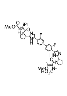 COC(=O)N[C@H](C(=O)N1CCCC1c1ncc(-c2ccc(-c3ccc(-c4cnc(C5CCCN5C(=O)[C@H]([C@@H](C)OC)N(C)C(=O)O)[nH]4)c(F)c3)cc2F)[nH]1)C(C)C